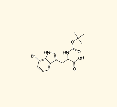 CC(C)(C)OC(=O)NC(Cc1c[nH]c2c(Br)cccc12)C(=O)O